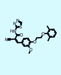 COc1cc(C=C(C#N)C(=O)Nc2nncs2)ccc1OCCOc1c(C)cccc1C